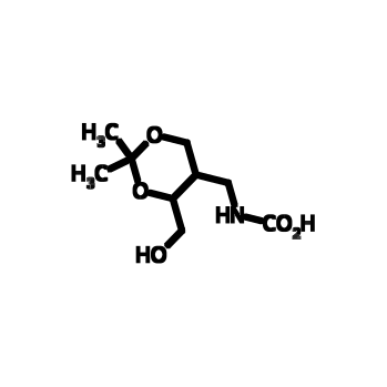 CC1(C)OCC(CNC(=O)O)C(CO)O1